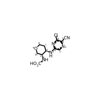 N#Cc1ncc(N[C@@H]2CCOC[C@@H]2NC(=O)O)nc1Cl